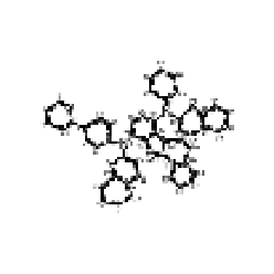 c1ccc(-c2ccc(N(c3ccc4ccccc4c3)c3ccc(N(c4ccccc4)c4ccc5ccccc5c4)c4c3sc3c5ccccc5ccc34)cc2)cc1